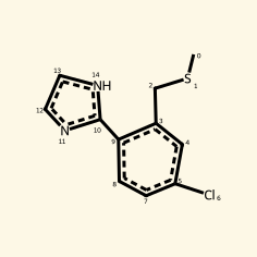 CSCc1cc(Cl)ccc1-c1ncc[nH]1